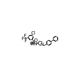 O=S(=O)(N[C@@H]1CCN(Cc2ccc(-c3ccccc3)cc2)C1)c1cc(Cl)cc(C(F)(F)F)c1